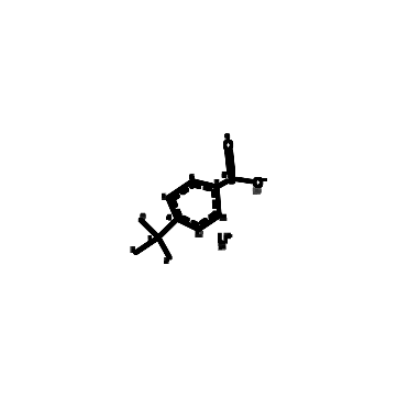 CC(C)(C)c1ccc(S(=O)[O-])cc1.[Li+]